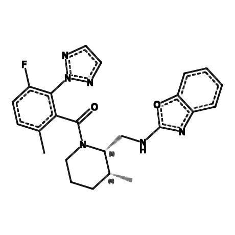 Cc1ccc(F)c(-n2nccn2)c1C(=O)N1CCC[C@@H](C)[C@H]1CNc1nc2ccccc2o1